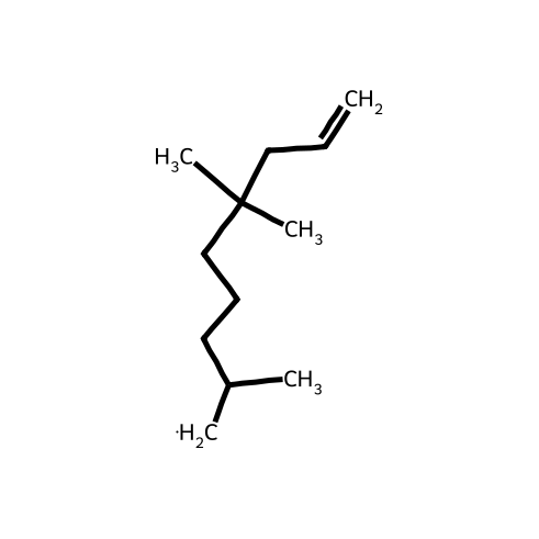 [CH2]C(C)CCCC(C)(C)CC=C